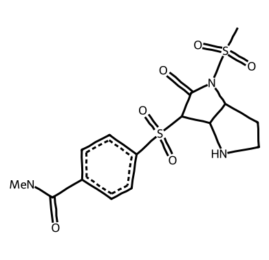 CNC(=O)c1ccc(S(=O)(=O)C2C(=O)N(S(C)(=O)=O)C3CCNC32)cc1